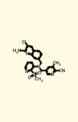 Cc1cc(C(=O)N(Cc2ccc3cc(Cl)c(N)nc3c2)c2cccnc2S(C)(=O)=O)cnc1C#N